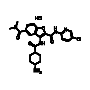 CN(C)C(=O)c1ccc2oc(C(=O)Nc3ccc(Cl)cn3)c(NC(=O)[C@H]3CC[C@H](N)CC3)c2c1.Cl